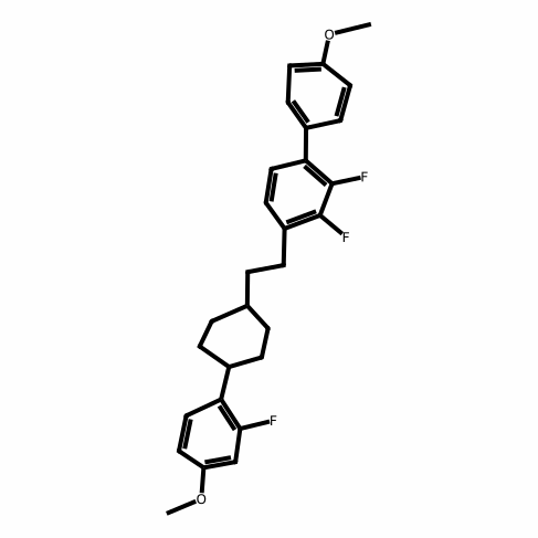 COc1ccc(-c2ccc(CCC3CCC(c4ccc(OC)cc4F)CC3)c(F)c2F)cc1